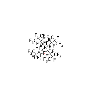 FC(F)(F)C(F)(C(F)(F)F)C(F)(F)C(F)(F)[B-](C(F)(F)C(F)(F)C(F)(C(F)(F)F)C(F)(F)F)(C(F)(F)C(F)(F)C(F)(C(F)(F)F)C(F)(F)F)C(F)(F)C(F)(F)C(F)(C(F)(F)F)C(F)(F)F